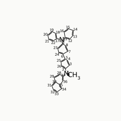 CN(c1ccc(-c2ccc(N(c3ccccc3)c3ccccc3)cc2)cc1)c1ccc2ccccc2c1